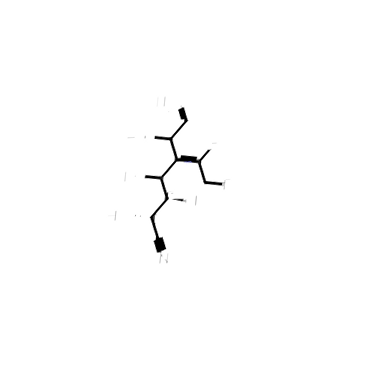 C=CC(C)/C(=C(\F)CF)C(C)[C@@H](C)[C@@H](C)C#N